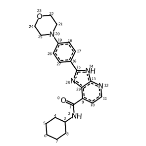 O=C(NC1CCCCC1)c1ccnc2[nH]c(-c3ccc(N4CCOCC4)cc3)nc12